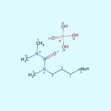 CCCCCCCCCCCCN(C)C(=O)N(C)C.O=P(O)(O)O